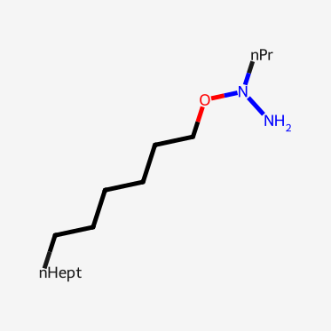 CCCCCCCCCCCCCON(N)CCC